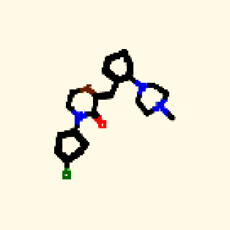 CN1CCN(c2ccccc2C=C2SCCN(c3ccc(Cl)cc3)C2=O)CC1